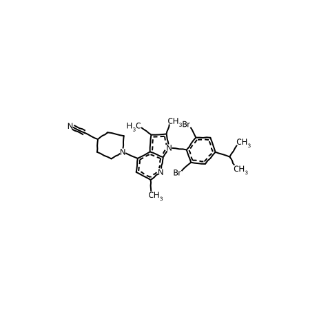 Cc1cc(N2CCC(C#N)CC2)c2c(C)c(C)n(-c3c(Br)cc(C(C)C)cc3Br)c2n1